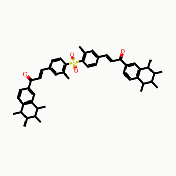 Cc1cc(C=CC(=O)c2ccc3c(c2)C(C)C(C)C(C)C3C)ccc1S(=O)(=O)c1ccc(C=CC(=O)c2ccc3c(c2)C(C)C(C)C(C)C3C)cc1C